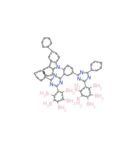 Bc1c(B)c(B)c(-c2nc(-c3ccccc3)nc(-c3ccc(-n4c5ccccc5c5cc(-c6ccccc6)ccc54)c(-c4nc(-c5ccccc5)nc(-c5c(B)c(B)c(B)c(B)c5B)n4)c3)n2)c(B)c1B